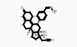 C[C@]12C[C@H](c3ccc(/C=N\O)cc3)C3=C4CCC(=O)C=C4CC[C@H]3[C@@H]1CC[C@@]2(O)CC#N